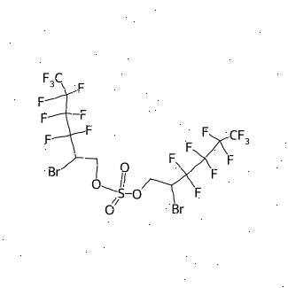 O=S(=O)(OCC(Br)C(F)(F)C(F)(F)C(F)(F)C(F)(F)F)OCC(Br)C(F)(F)C(F)(F)C(F)(F)C(F)(F)F